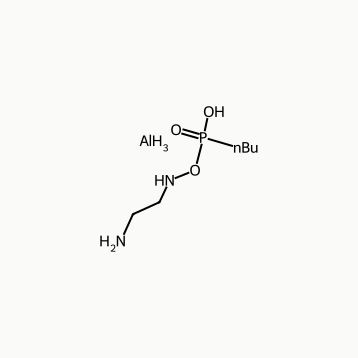 CCCCP(=O)(O)ONCCN.[AlH3]